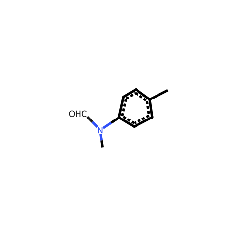 Cc1ccc(N(C)C=O)cc1